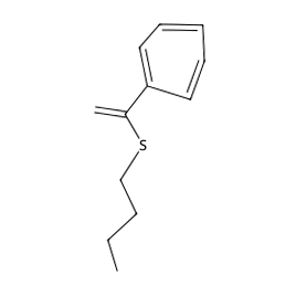 C=C(SCCCC)c1ccccc1